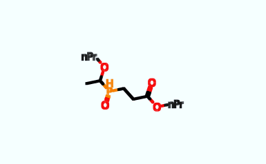 CCCOC(=O)CC[PH](=O)C(C)OCCC